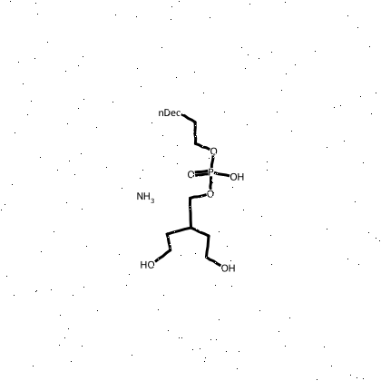 CCCCCCCCCCCCOP(=O)(O)OCC(CCO)CCO.N